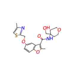 Cc1csc(COc2ccc3oc(C)c(C(=O)NC4(CO)CCOCC4)c3c2)n1